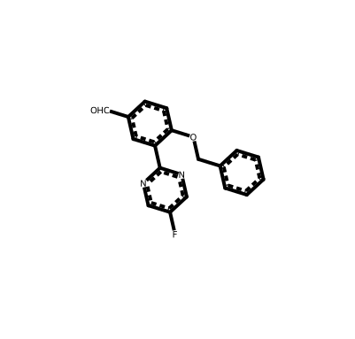 O=Cc1ccc(OCc2ccccc2)c(-c2ncc(F)cn2)c1